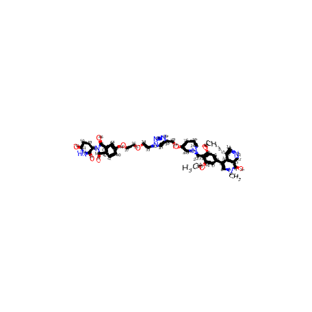 COc1cc(-c2cn(C)c(=O)c3cnccc23)cc(OC)c1CN1CCCC(OCc2cn(CCOCCOc3ccc4c(c3)C(=O)N(C3CCC(=O)NC3=O)C4=O)nn2)C1